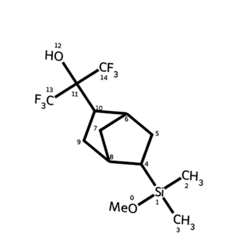 CO[Si](C)(C)C1CC2CC1CC2C(O)(C(F)(F)F)C(F)(F)F